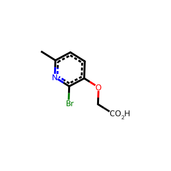 Cc1ccc(OCC(=O)O)c(Br)n1